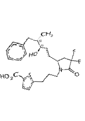 C[C@@H](Cc1ccccc1)[C@H](O)C=CC1CC(F)(F)C(=O)N1CCCc1ccc(C(=O)O)s1